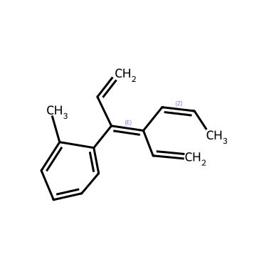 C=CC(/C=C\C)=C(/C=C)c1ccccc1C